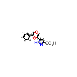 O=C(O)c1cc(C2=COC=C(C3=CC=CCC3)O2)[nH]n1